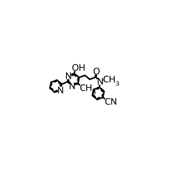 Cc1nc(-c2ccccn2)nc(O)c1CCC(=O)N(C)c1cccc(C#N)c1